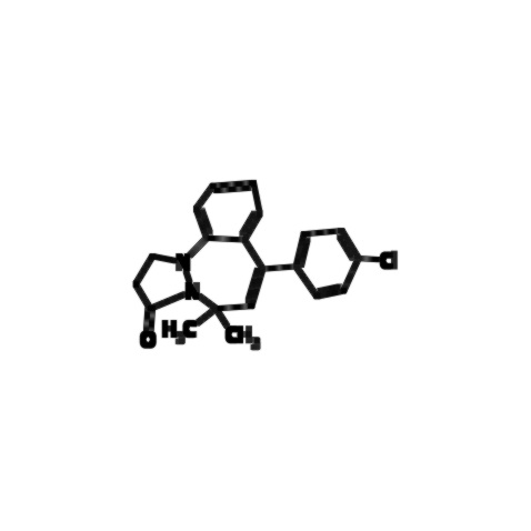 CC1(C)C=C(c2ccc(Cl)cc2)c2ccccc2N2CCC(=O)N21